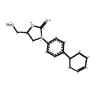 COCC1CN(c2ccc(C3CC=CCC3)cc2)C(=O)O1